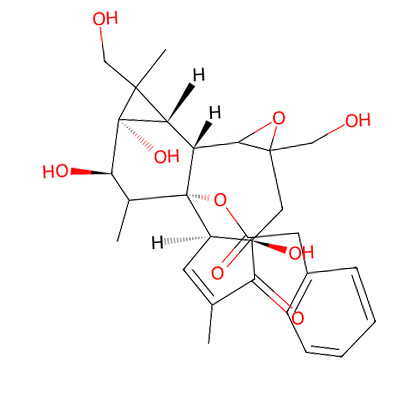 CC1=C[C@H]2[C@@]3(OC(=O)Cc4ccccc4)C(C)[C@@H](O)[C@]4(O)[C@@H]([C@@H]3C3OC3(CO)C[C@]2(O)C1=O)C4(C)CO